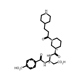 O=C(O)C[C@@H](NC(=O)c1ccc(C(=O)O)cc1)NC(=O)[C@@H]1CCCN(C(=O)CCC2CCNCC2)C1